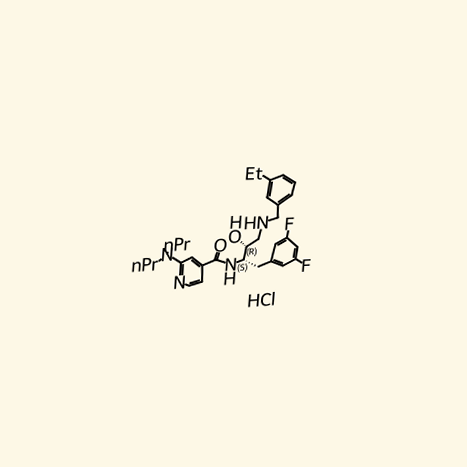 CCCN(CCC)c1cc(C(=O)N[C@@H](Cc2cc(F)cc(F)c2)[C@H](O)CNCc2cccc(CC)c2)ccn1.Cl